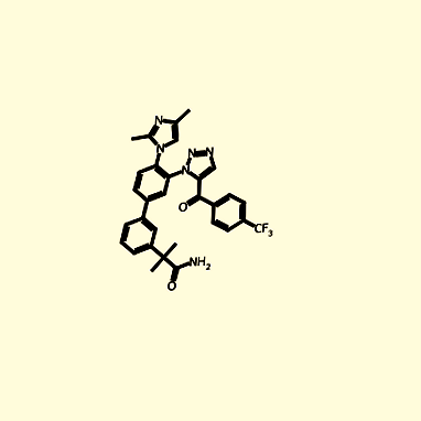 Cc1cn(-c2ccc(-c3cccc(C(C)(C)C(N)=O)c3)cc2-n2nncc2C(=O)c2ccc(C(F)(F)F)cc2)c(C)n1